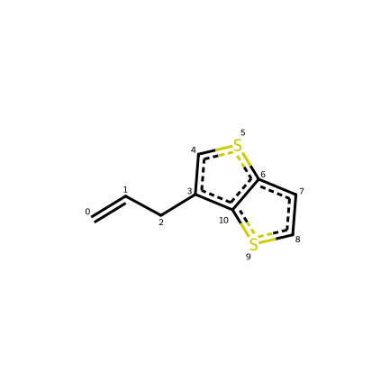 C=CCc1csc2ccsc12